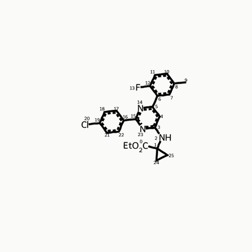 CCOC(=O)C1(Nc2cc(-c3cc(C)ccc3F)nc(-c3ccc(Cl)cc3)n2)CC1